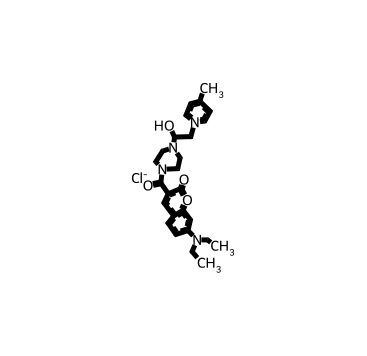 CCN(CC)c1ccc2cc(C(=O)N3CCN(C(O)C[n+]4ccc(C)cc4)CC3)c(=O)oc2c1.[Cl-]